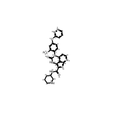 Cc1cc(Oc2cccnn2)ccc1N1C(=O)Nc2c(C(=O)NC3CCCNC3)sc3nccc1c23